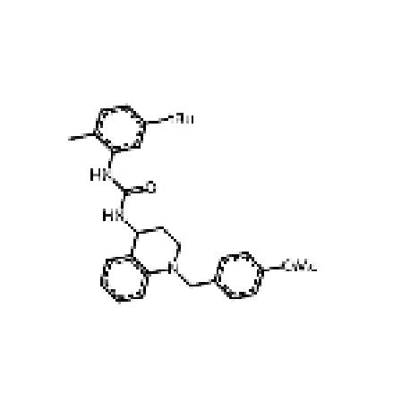 COc1ccc(CN2CCC(NC(=O)Nc3cc(C(C)(C)C)ccc3C)c3ccccc32)cc1